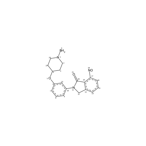 BN1CCC(Oc2cccc(N3Cc4cccc(N=O)c4C3=O)c2)CC1